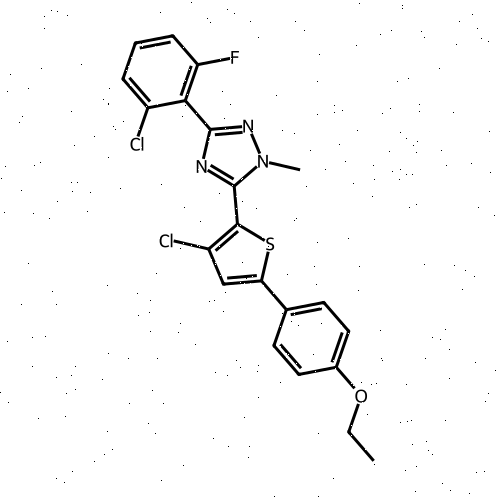 CCOc1ccc(-c2cc(Cl)c(-c3nc(-c4c(F)cccc4Cl)nn3C)s2)cc1